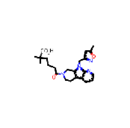 Cc1cc(Cn2c3c(c4cccnc42)CCN(C(=O)CCCC(C)(C)C(=O)O)C3)no1